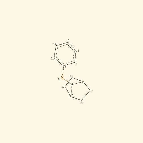 c1ccc(SC2C3CCC2CC3)cc1